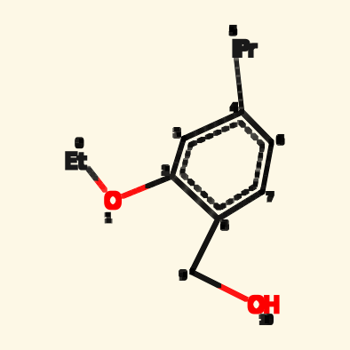 CCOc1cc(C(C)C)ccc1CO